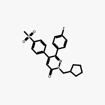 CS(=O)(=O)c1ccc(-c2cc(=O)n(CC3CCCC3)nc2-c2ccc(F)cc2)cc1